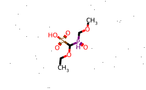 CCOC([PH](=O)COC)S(=O)(=O)O